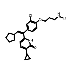 CCNCCCOc1ccc(C(=CC2CCCC2)c2ccc(C3CC3)c(=O)[nH]2)cc1Cl